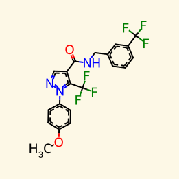 COc1ccc(-n2ncc(C(=O)NCc3cccc(C(F)(F)F)c3)c2C(F)(F)F)cc1